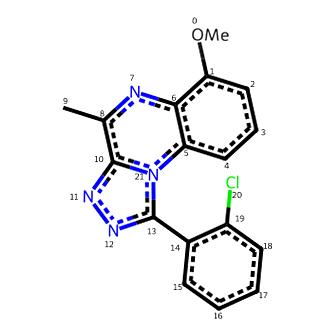 COc1cccc2c1nc(C)c1nnc(-c3ccccc3Cl)n12